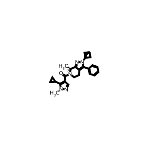 C[C@H]1c2nn(C34CC(C3)C4)c(-c3ccccc3)c2CCN1C(=O)c1cnn(C)c1C1CC1